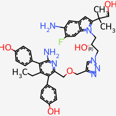 CCc1c(-c2ccc(O)cc2)c(N)nc(COCc2cn(C[C@H](O)Cn3c(C(C)(C)CO)cc4cc(N)c(F)cc43)nn2)c1-c1ccc(O)cc1